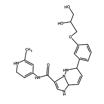 CC1=CC(NC(=O)C2=CNC3C=CC(c4cccc(OCC(O)CO)c4)NN23)=CCN1